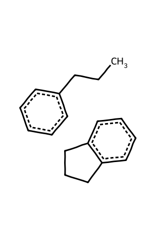 CCCc1ccccc1.c1ccc2c(c1)CCC2